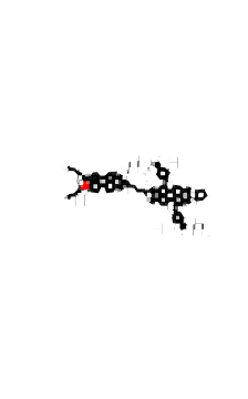 CCCCOC(=O)c1ccc2c3ccc4c5c(ccc(c6ccc(C(=O)OCCCC)c1c26)c53)C(=O)N(CCCCCCN1C(=O)c2ccc3c5c(Oc6ccc(C(C)(C)C)cc6)cc6c7c(ccc(c8c(Oc9ccc(C(C)(C)C)cc9)cc(c2c38)C1=O)c75)C(=O)N(C1CCCCC1)C6=O)C4=O